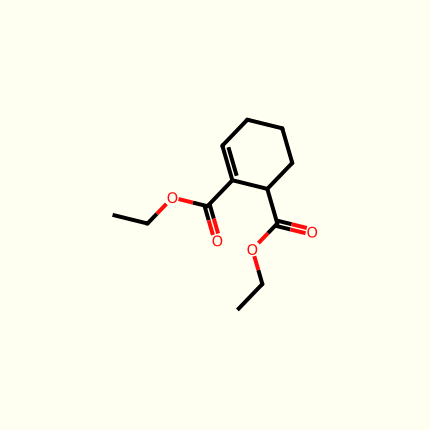 CCOC(=O)C1=CCCCC1C(=O)OCC